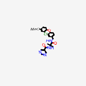 COc1ccc(Oc2ccc(CNC(=O)C(C)(C)NC(=O)c3cncnc3)cc2)c(Cl)c1